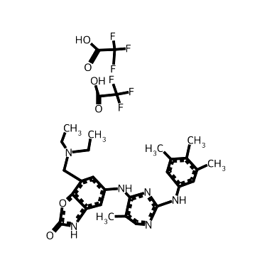 CCN(CC)Cc1cc(Nc2nc(Nc3cc(C)c(C)c(C)c3)ncc2C)cc2[nH]c(=O)oc12.O=C(O)C(F)(F)F.O=C(O)C(F)(F)F